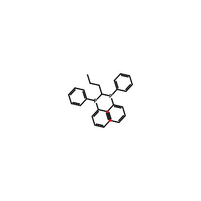 CCCC(P(c1ccccc1)c1ccccc1)P(c1ccccc1)c1ccccc1